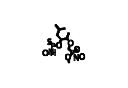 COP(=O)(COC(C)[C@H](CC(C)C)O[PH](=S)N=O)N=O